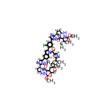 COC(=O)NC(C(=O)N1CCC[C@H]1c1ncc(-c2ccc3c(c2)cc2n3C(c3cnc(C(C)C)s3)Oc3cc(-c4cnc([C@@H]5CCCN5C(=O)[C@@H](NC(=O)OC)C(C)C)[nH]4)cc(F)c3-2)[nH]1)C1CCOC(C)(C)C1